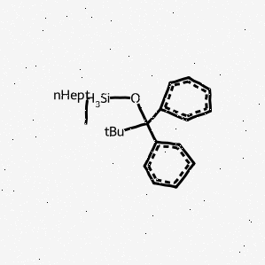 CC(C)(C)C(O[SiH3])(c1ccccc1)c1ccccc1.CCCCCCCC